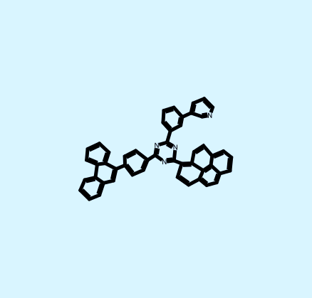 c1cncc(-c2cccc(-c3nc(-c4ccc(-c5cc6ccccc6c6ccccc56)cc4)nc(-c4ccc5ccc6cccc7ccc4c5c67)n3)c2)c1